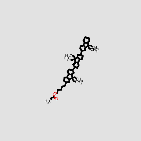 C=CC(=O)OCCCCCc1ccc2c(c1)C(CC)(CC)c1cc(-c3ccc4c(c3)C(CC)(CC)c3cc(-c5ccc6c(c5)C(CC)(CC)c5ccccc5-6)ccc3-4)ccc1-2